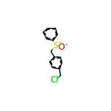 [O-][S+](Cc1ccc(CCl)cc1)c1ccccc1